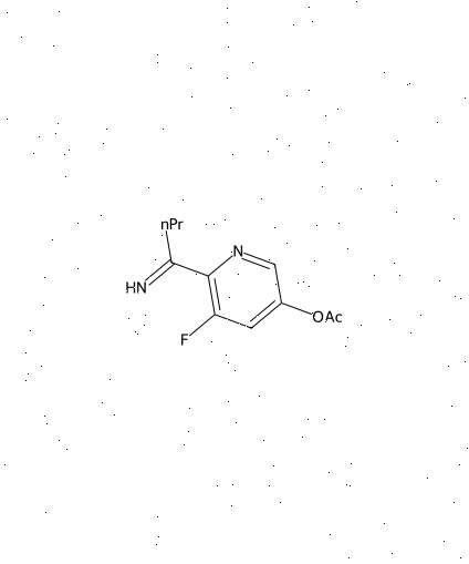 CCCC(=N)c1ncc(OC(C)=O)cc1F